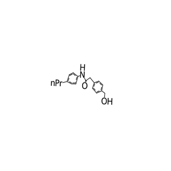 CCCc1ccc(NC(=O)Cc2ccc(CO)cc2)cc1